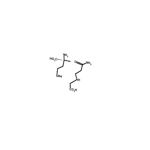 CSCC[C@](C)(N)C(=O)O.NC(=O)CCNCC(=O)O